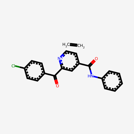 C=C.O=C(Nc1ccccc1)c1ccnc(C(=O)c2ccc(Cl)cc2)c1